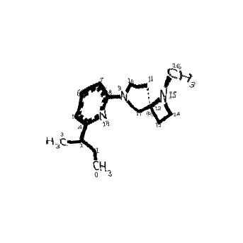 CCC(C)c1cccc(N2CC[C@]3(CCN3C)C2)n1